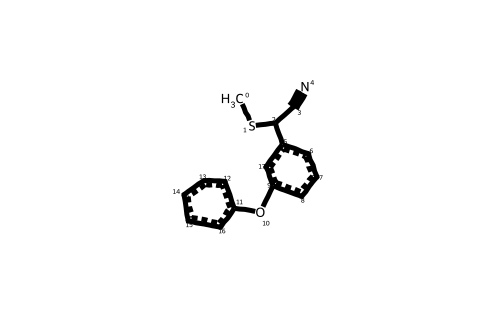 CSC(C#N)c1cccc(Oc2ccccc2)c1